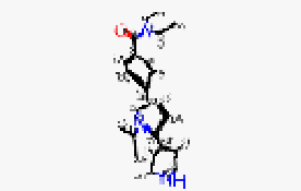 CCN(CC)C(=O)c1ccc(C2=CN(C(C)C)C(C3CCNCC3)C=C2)cc1